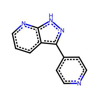 c1cnc2[nH]nc(-c3ccncc3)c2c1